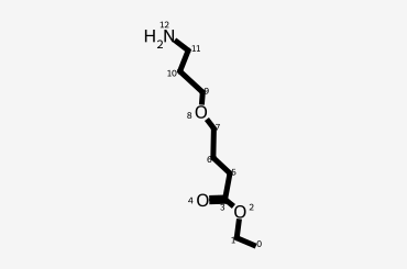 CCOC(=O)CCCOCCCN